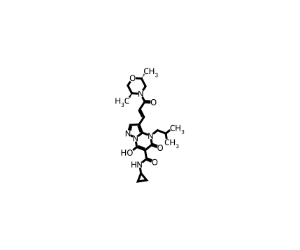 CC(C)Cn1c(=O)c(C(=O)NC2CC2)c(O)n2ncc(/C=C/C(=O)N3C[C@@H](C)OC[C@@H]3C)c12